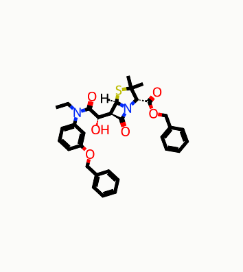 CCN(C(=O)[C@@H](O)[C@@H]1C(=O)N2[C@@H]1SC(C)(C)[C@@H]2C(=O)OCc1ccccc1)c1cccc(OCc2ccccc2)c1